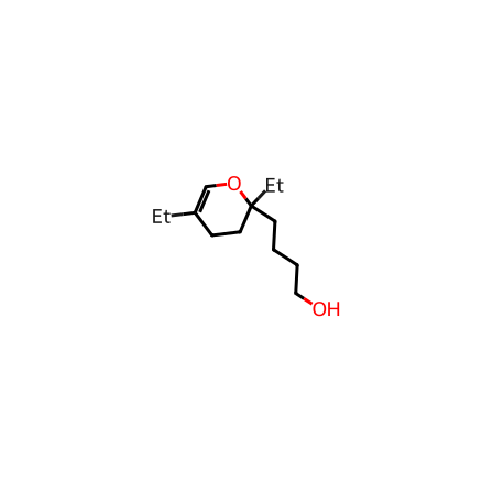 CCC1=COC(CC)(CCCCO)CC1